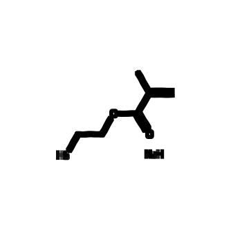 C=C(C)C(=O)OCCS.[NaH]